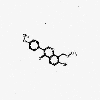 COCc1c(O)ccc2c(=O)c(-c3ccc(OC)cc3)coc12